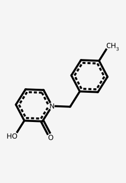 Cc1ccc(Cn2cccc(O)c2=O)cc1